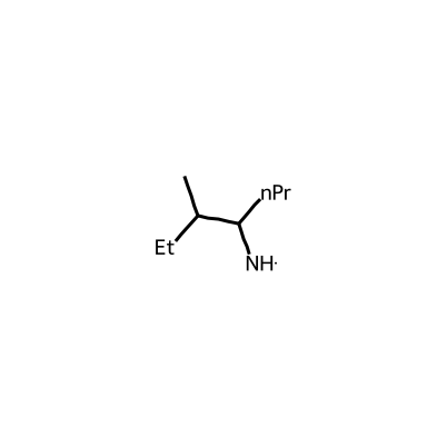 CCCC([NH])C(C)CC